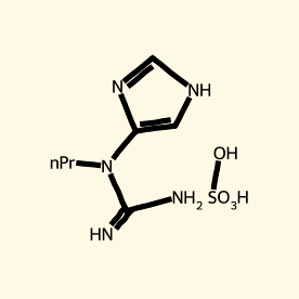 CCCN(C(=N)N)c1c[nH]cn1.O=S(=O)(O)O